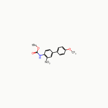 CC(C)(C)OC(=O)Nc1ccc(-c2ccc(OC(F)(F)F)cc2)cc1[N+](=O)[O-]